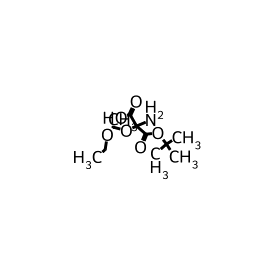 CCOC(C)OC(N)(C(=O)O)C(=O)OC(C)(C)C